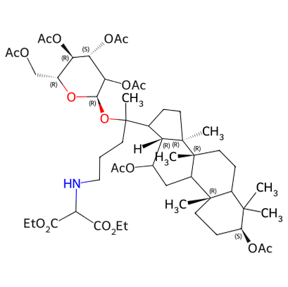 CCOC(=O)C(NCCCC(C)(O[C@H]1O[C@H](COC(C)=O)[C@@H](OC(C)=O)[C@H](OC(C)=O)C1OC(C)=O)C1CC[C@]2(C)[C@@H]1C(OC(C)=O)CC1[C@@]3(C)CC[C@H](OC(C)=O)C(C)(C)C3CC[C@]12C)C(=O)OCC